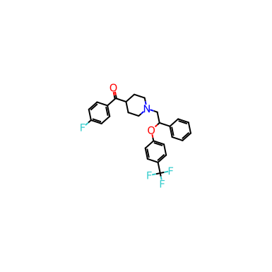 O=C(c1ccc(F)cc1)C1CCN(CC(Oc2ccc(C(F)(F)F)cc2)c2ccccc2)CC1